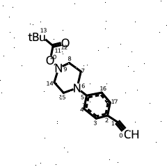 C#Cc1ccc(N2CCN(OC(=O)C(C)(C)C)CC2)cc1